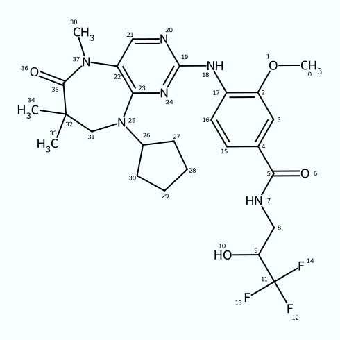 COc1cc(C(=O)NCC(O)C(F)(F)F)ccc1Nc1ncc2c(n1)N(C1CCCC1)CC(C)(C)C(=O)N2C